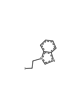 ICCn1cnc2ccccc21